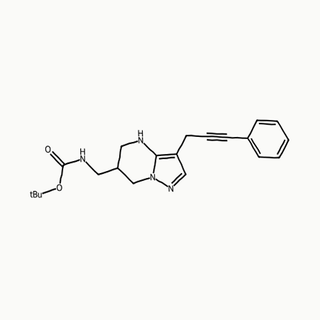 CC(C)(C)OC(=O)NCC1CNc2c(CC#Cc3ccccc3)cnn2C1